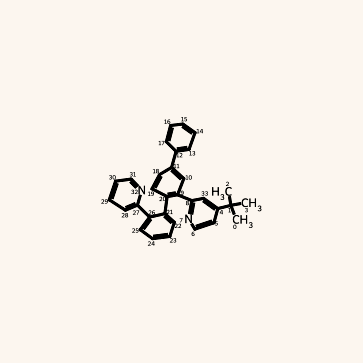 CC(C)(C)c1ccnc(-c2cc(-c3ccccc3)ccc2-c2ccccc2-c2ccccn2)c1